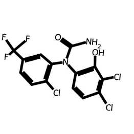 NC(=O)N(c1cc(C(F)(F)F)ccc1Cl)c1ccc(Cl)c(Cl)c1O